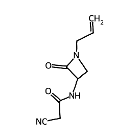 C=CCN1CC(NC(=O)CC#N)C1=O